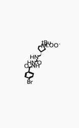 CC(C)(C)[N+]1(C(=O)[O-])CC[C@@H](CNC(=O)NNC(=O)c2ccc(Br)cc2)C1